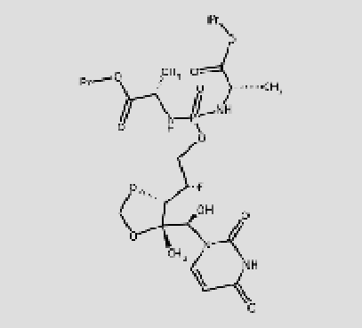 CC(C)OC(=O)[C@H](C)NP(=O)(N[C@@H](C)C(=O)OC(C)C)OC[C@H](F)[C@H]1OCO[C@@]1(C)[C@@H](O)n1ccc(=O)[nH]c1=O